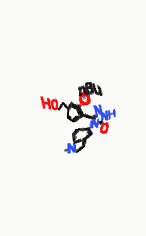 CCCCOc1cc(CCO)ccc1-c1n[nH]c(=O)n1-c1ccc2c(ccn2C)c1